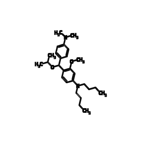 CCCCN(CCCC)c1ccc(C(OC(C)C)c2ccc(N(C)C)cc2)c(OC)c1